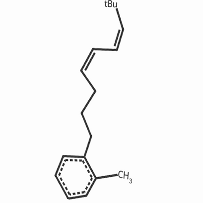 Cc1ccccc1CCC/C=C\C=C/C(C)(C)C